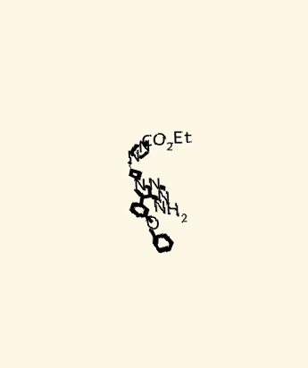 CCOC(=O)N1CCN(C[C@H]2C[C@H](n3cc(-c4cccc(OCc5ccccc5)c4)c4c(N)ncnc43)C2)CC1